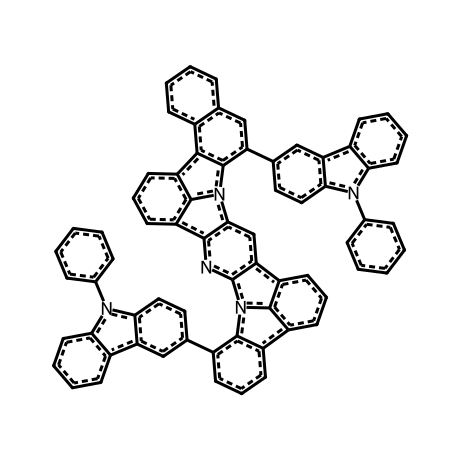 c1ccc(-n2c3ccccc3c3cc(-c4cc5ccccc5c5c6cccc7c8nc9c(cc8n(c45)c76)c4cccc5c6cccc(-c7ccc8c(c7)c7ccccc7n8-c7ccccc7)c6n9c45)ccc32)cc1